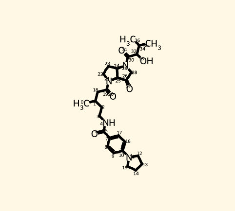 CC(CCNC(=O)c1ccc(N2CCCC2)cc1)CC(=O)N1CCC2C1C(=O)CN2C(=O)C(O)C(C)C